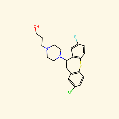 OCCCN1CCN(C2Cc3cc(Cl)ccc3Sc3ccc(F)cc32)CC1